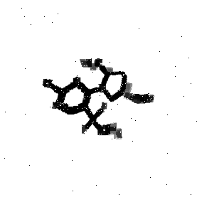 CO[C@H]1C[C@H](C)N(c2nc(Cl)ncc2C(C)(F)F)C1